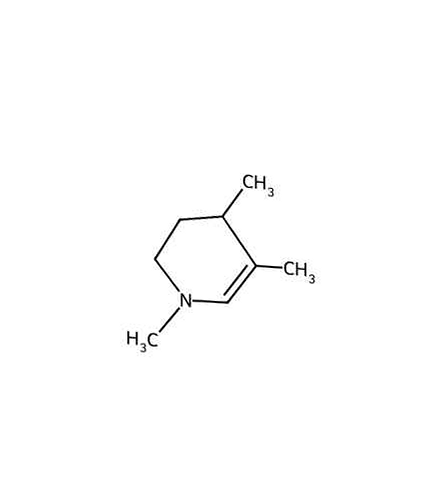 CC1=CN(C)CCC1C